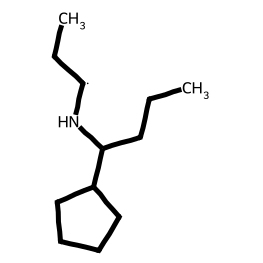 CC[CH]NC(CCC)C1CCCC1